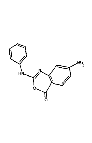 Nc1ccc2c(=O)oc(Nc3ccccc3)nc2c1